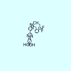 Cc1nc2ccc(-c3cnc(N4CCS(O)(O)CC4)nc3)cn2c1Cc1ccccc1OC(F)F